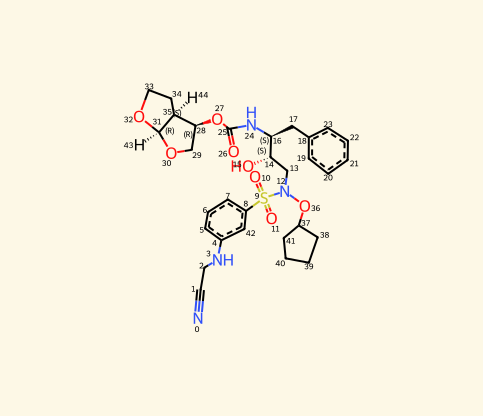 N#CCNc1cccc(S(=O)(=O)N(C[C@H](O)[C@H](Cc2ccccc2)NC(=O)O[C@H]2CO[C@H]3OCC[C@H]32)OC2CCCC2)c1